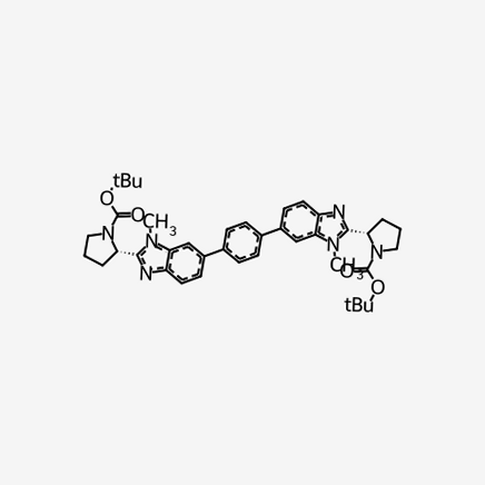 Cn1c([C@@H]2CCCN2C(=O)OC(C)(C)C)nc2ccc(-c3ccc(-c4ccc5nc([C@@H]6CCCN6C(=O)OC(C)(C)C)n(C)c5c4)cc3)cc21